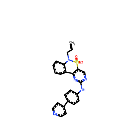 C=CCN1c2ccccc2-c2nc(Nc3ccc(-c4ccncc4)cc3)ncc2S1(=O)=O